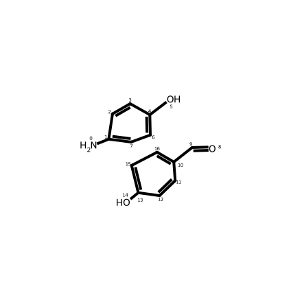 Nc1ccc(O)cc1.O=Cc1ccc(O)cc1